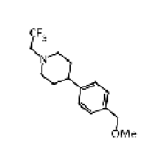 COCc1ccc(C2CCN(CC(F)(F)F)CC2)cc1